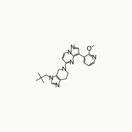 COc1ncccc1-c1cnn2ccc(N3CCc4ncn(CC(C)(C)C)c4C3)nc12